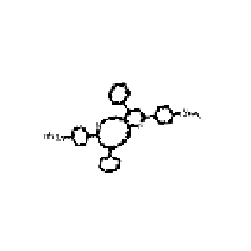 CCCCCCc1ccc(-c2cc(-c3ccccc3)ccc3nc(-c4ccc(CCCCCC)cc4)cc(-c4ccccc4)c3ccn2)cc1